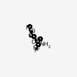 Nc1cc(C(F)(F)F)cc(C(=O)Nc2ccc3c(c2)CCN3C(=O)Cc2ccccn2)c1-c1ccccc1